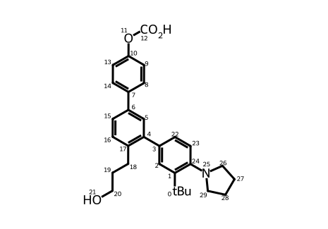 CC(C)(C)c1cc(-c2cc(-c3ccc(OC(=O)O)cc3)ccc2CCCO)ccc1N1CCCC1